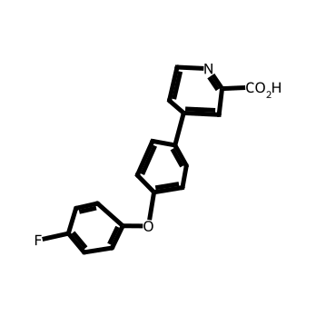 O=C(O)c1cc(-c2ccc(Oc3ccc(F)cc3)cc2)ccn1